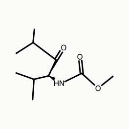 COC(=O)N[C@H](C(=O)C(C)C)C(C)C